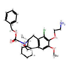 CCCCOc1cc2c(c(Br)c1OCCN)C[C@H]1[C@H]3CCCC[C@@]23CCN1C(=O)OCc1ccccc1